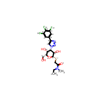 CCN(C)C(=O)CS[C@@H]1O[C@H](CO)[C@H](O)[C@H](n2cc(-c3cc(F)c(F)c(F)c3)nn2)[C@H]1O